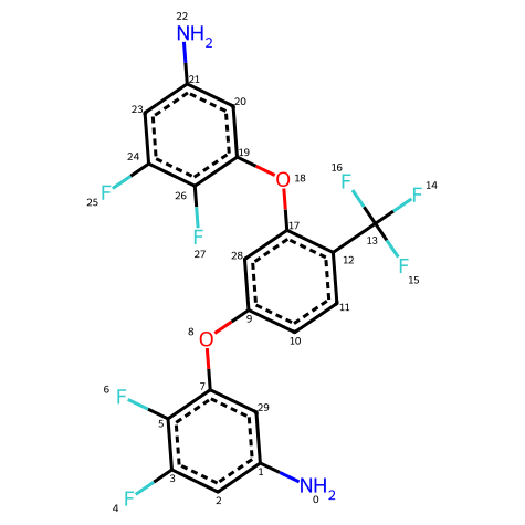 Nc1cc(F)c(F)c(Oc2ccc(C(F)(F)F)c(Oc3cc(N)cc(F)c3F)c2)c1